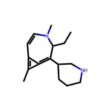 CCC1C(C2CCCNC2)=C2C(C)=C2C=CN1C